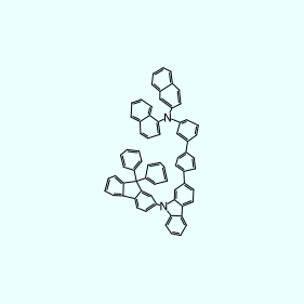 c1ccc(C2(c3ccccc3)c3ccccc3-c3ccc(-n4c5ccccc5c5ccc(-c6ccc(-c7cccc(N(c8ccc9ccccc9c8)c8cccc9ccccc89)c7)cc6)cc54)cc32)cc1